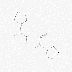 C=C(OC(=C)C(C)N1CCCC1)C(C)N1CCCC1